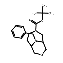 CC(C)(C)OC(=O)N1CCC2COCC(C1)N2Cc1ccccc1